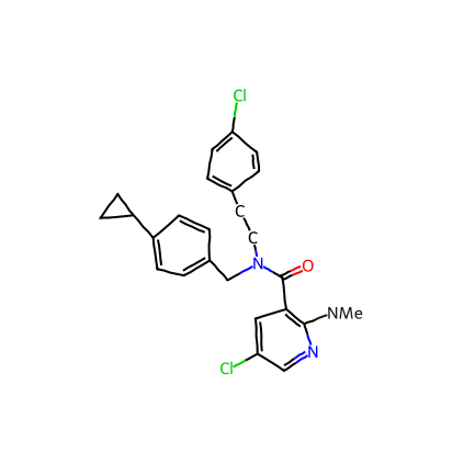 CNc1ncc(Cl)cc1C(=O)N(CCc1ccc(Cl)cc1)Cc1ccc(C2CC2)cc1